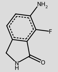 Nc1ccc2c(c1F)C(=O)NC2